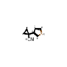 N#CC1(c2ccsc2)CC1